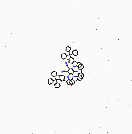 N#Cc1c(C#N)c(-n2c3ccccc3c3cc4c(cc32)-c2ccccc2C4(c2ccccc2)c2ccccc2)c(-n2c3ccccc3c3ccccc32)c(-n2c3ccccc3c3ccccc32)c1-n1c2ccccc2c2cc3c(cc21)-c1ccccc1C3(c1ccccc1)c1ccccc1